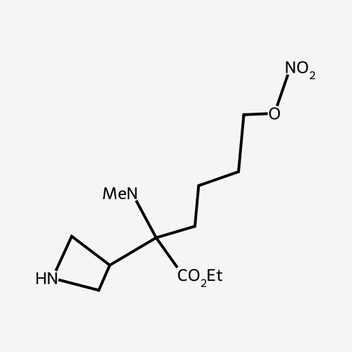 CCOC(=O)C(CCCCO[N+](=O)[O-])(NC)C1CNC1